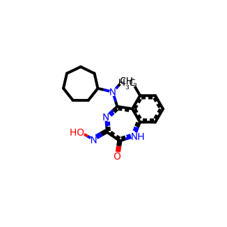 Cc1cccc2[nH]c(=O)c(=NO)nc(N(C)C3CCCCCC3)c12